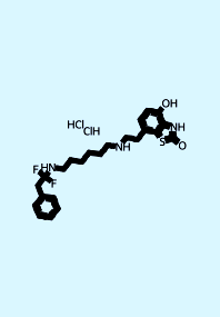 Cl.Cl.O=c1[nH]c2c(O)ccc(CCNCCCCCCNC(F)(F)Cc3ccccc3)c2s1